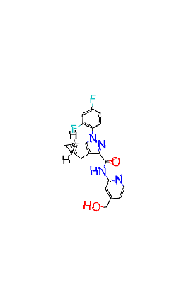 O=C(Nc1cc(CO)ccn1)c1nn(-c2ccc(F)cc2F)c2c1C[C@H]1C[C@@H]21